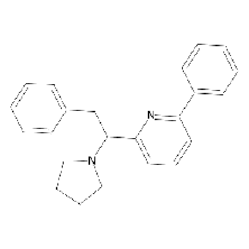 c1ccc(CC(c2cccc(-c3ccccc3)n2)N2CCCC2)cc1